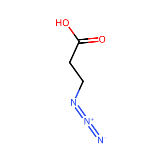 [N-]=[N+]=NCCC(=O)O